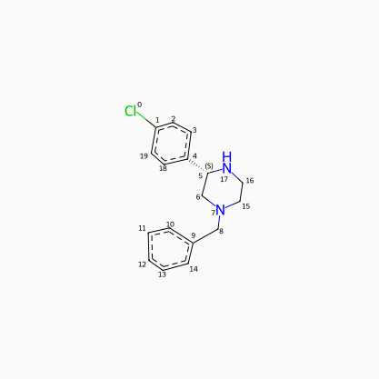 Clc1ccc([C@H]2CN(Cc3ccccc3)CCN2)cc1